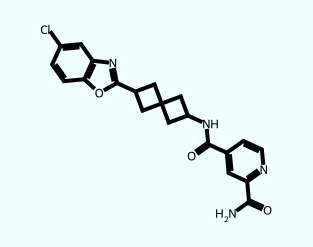 NC(=O)c1cc(C(=O)NC2CC3(C2)CC(c2nc4cc(Cl)ccc4o2)C3)ccn1